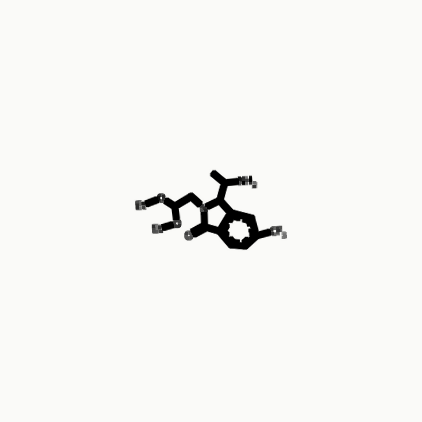 CCOC(CN1C(=O)c2ccc(C(F)(F)F)cc2C1C(C)N)OCC